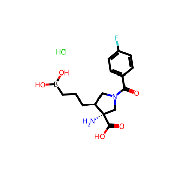 Cl.N[C@@]1(C(=O)O)CN(C(=O)c2ccc(F)cc2)C[C@@H]1CCCB(O)O